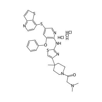 CN(C)CC(=O)N1CCC(C)(c2csc(Nc3ncc(Sc4ccnc5ccsc45)cc3Oc3ccccc3)n2)CC1.Cl.Cl.Cl